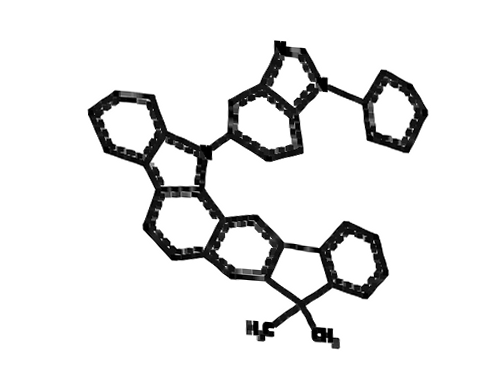 CC1(C)c2ccccc2-c2cc3c(ccc4c5ccccc5n(-c5ccc6c(c5)ncn6-c5ccccc5)c34)cc21